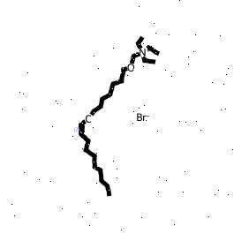 CCCCCCCC/C=C\CCCCCCCCOC[N+](CC)(CC)CC.[Br-]